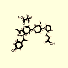 Cc1nn(C(C)c2ccc(Cl)cc2F)c2nc(N3CC[C@H](N4CCC[C@H]4CCC(=O)O)[C@H](C)C3)cnc12.O=C(O)C(F)(F)F